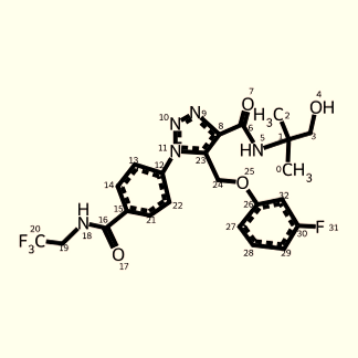 CC(C)(CO)NC(=O)c1nnn(-c2ccc(C(=O)NCC(F)(F)F)cc2)c1COc1cccc(F)c1